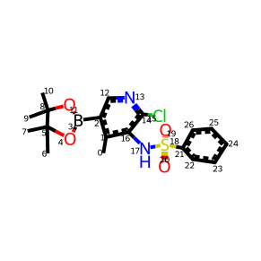 Cc1c(B2OC(C)(C)C(C)(C)O2)cnc(Cl)c1NS(=O)(=O)c1ccccc1